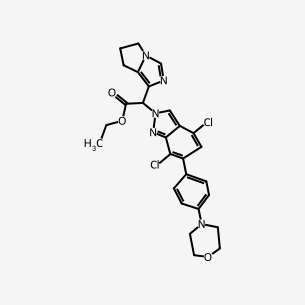 CCOC(=O)C(c1ncn2c1CCC2)n1cc2c(Cl)cc(-c3ccc(N4CCOCC4)cc3)c(Cl)c2n1